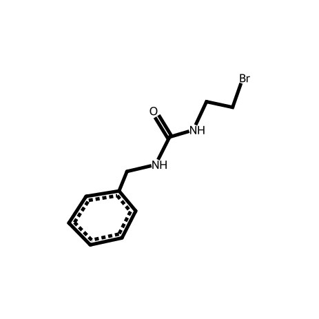 O=C(NCCBr)NCc1ccccc1